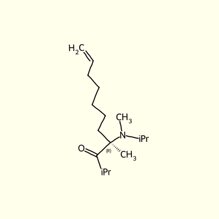 C=CCCCCC[C@](C)(C(=O)C(C)C)N(C)C(C)C